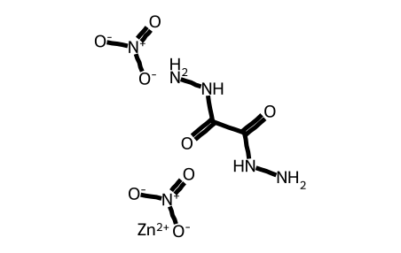 NNC(=O)C(=O)NN.O=[N+]([O-])[O-].O=[N+]([O-])[O-].[Zn+2]